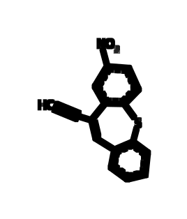 C#CC1=Cc2ccccc2Sc2ccc([N+](=O)[O-])cc21